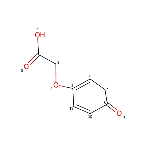 O=C(O)COC1=CCC(=O)C=C1